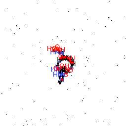 C/C1=C/C=C/[C@H](C)[C@H](OC(=O)CN(C)CC(=O)NC(C=O)P(=O)(O)O)[C@@H](C)[C@@H](O)[C@@H](C)[C@H](C)[C@H](C)[C@@H](C)/C=C/O[C@@]2(C)Oc3c(C)c(O)c4c(c3C2=O)C2=NC3(CCN(CC(C)C)CC3)NC2=C(NC1=O)C4=O